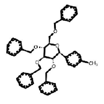 Cc1ccc([C@@H]2O[C@H](COCc3ccccc3)[C@@H](OCc3ccccc3)[C@H](OCc3ccccc3)[C@H]2OCc2ccccc2)cc1